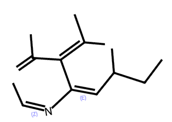 C=C(C)C(=C(C)C)C(=C\C(C)CC)/N=C\C